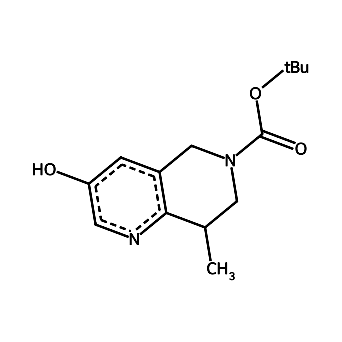 CC1CN(C(=O)OC(C)(C)C)Cc2cc(O)cnc21